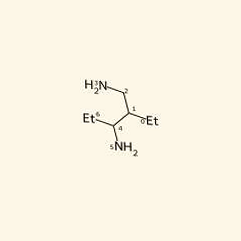 [CH2]CC(CN)C(N)CC